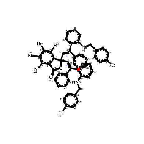 CCc1ccc(CNc2ccccc2/C(=C/C2(/C=C(\c3ccccc3)c3ccccc3NCc3ccc(CC)cc3)OC(=O)c3c(Br)c(Br)c(Br)c(Br)c32)c2ccccc2)cc1